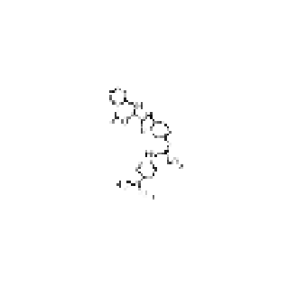 CN(C)c1ccc(NC(=CN2CCc3nc(C(=O)Nc4ccccc4N)sc3C2)[N+](=O)[O-])cc1